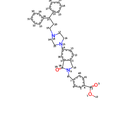 COC(=O)c1ccc(CN2Cc3ccc(N4CCN(CCC(c5ccccc5)c5ccccc5)CC4)cc3C2=O)cc1